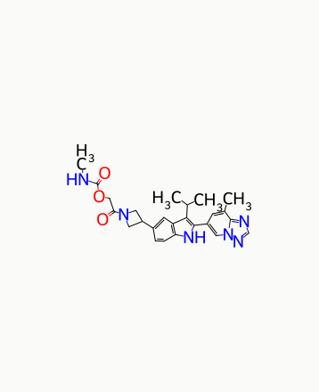 CNC(=O)OCC(=O)N1CC(c2ccc3[nH]c(-c4cc(C)c5ncnn5c4)c(C(C)C)c3c2)C1